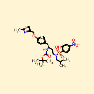 Cc1nc(COc2ccc(C[C@H](NC(=O)OC(C)(C)C)[C@H](O)CN(CC(C)C)S(=O)(=O)c3ccc([N+](=O)[O-])cc3)cc2)cs1